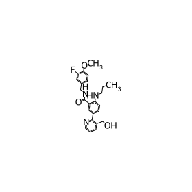 CCCNc1ccc(-c2ncccc2CO)cc1C(=O)NCc1ccc(OC)c(F)c1